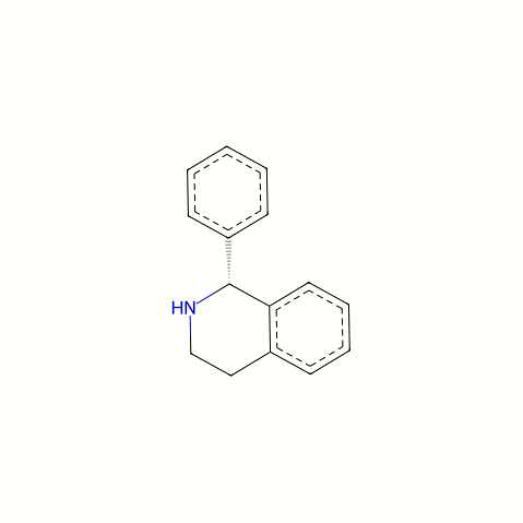 c1ccc([C@H]2NCCc3ccccc32)cc1